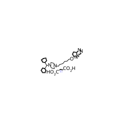 O=C(O)/C=C/C(=O)O.c1ccc(C(c2ccccc2)N2CCN(CCCCCCOc3ccc4nncn4n3)CC2)cc1